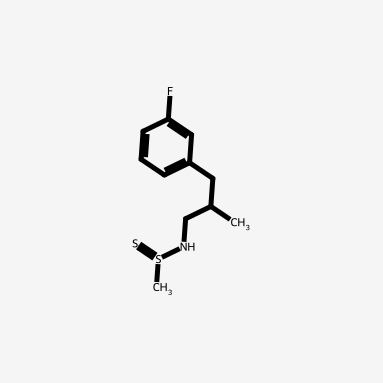 CC(CNS(C)=S)Cc1cccc(F)c1